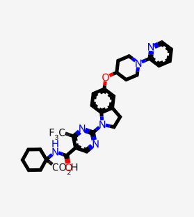 O=C(NC1(C(=O)O)CCCCC1)c1cnc(N2CCc3cc(OC4CCN(c5ccccn5)CC4)ccc32)nc1C(F)(F)F